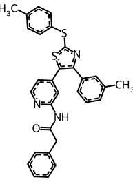 Cc1ccc(Sc2nc(-c3cccc(C)c3)c(-c3ccnc(NC(=O)Cc4ccccc4)c3)s2)cc1